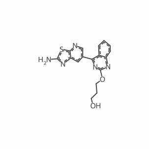 Nc1nc2cc(-c3nc(OCCCO)nc4ccccc34)cnc2s1